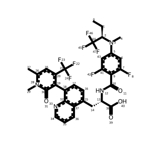 CC[C@@H](N(C)c1cc(F)c(C(=O)N[C@@H](Cc2ccc(-c3c(C(F)(F)F)cc(C)n(C)c3=O)c3ncccc23)C(=O)O)c(F)c1)C(F)(F)F